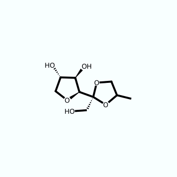 CC1CO[C@](CO)([C@H]2OC[C@H](O)[C@H]2O)O1